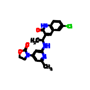 Cc1cc(N2CCOC2=O)cc(N[C@@H](C)c2cc3cc(Cl)ccc3[nH]c2=O)n1